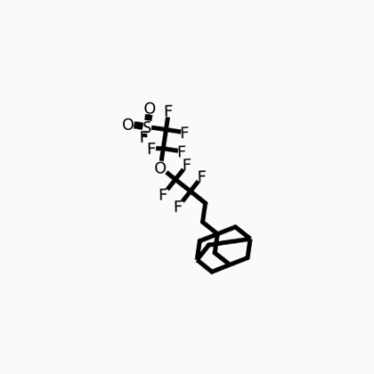 O=S(=O)(F)C(F)(F)C(F)(F)OC(F)(F)C(F)(F)CCC12CC3CC(CC(C3)C1)C2